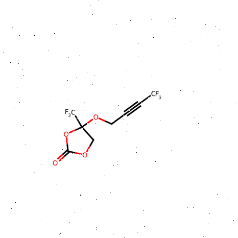 O=C1OCC(OCC#CC(F)(F)F)(C(F)(F)F)O1